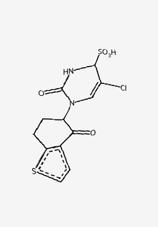 O=C1c2ccsc2CCC1N1C=C(Cl)C(S(=O)(=O)O)NC1=O